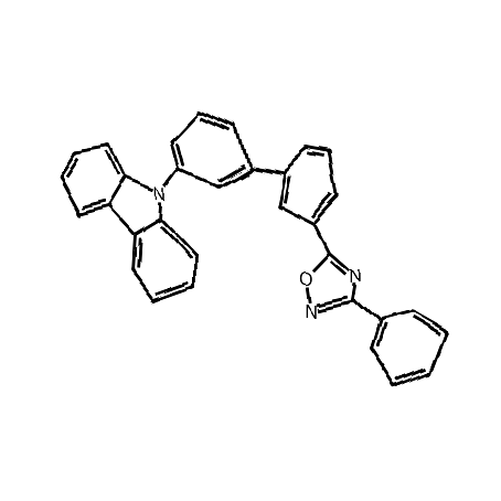 c1ccc(-c2noc(-c3cccc(-c4cccc(-n5c6ccccc6c6ccccc65)c4)c3)n2)cc1